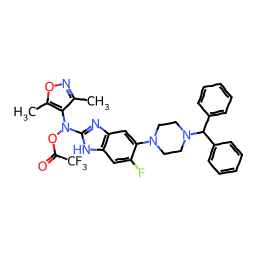 Cc1noc(C)c1N(OC(=O)C(F)(F)F)c1nc2cc(N3CCN(C(c4ccccc4)c4ccccc4)CC3)c(F)cc2[nH]1